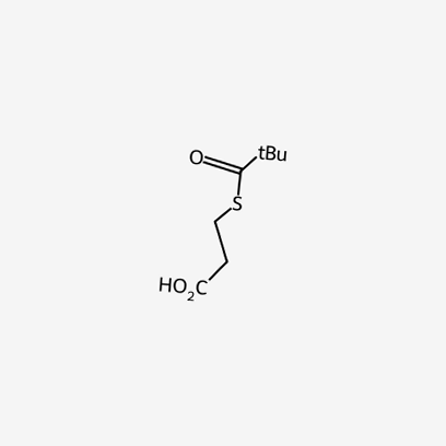 CC(C)(C)C(=O)SCCC(=O)O